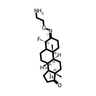 C[C@]12CC/C(=N/OCCN)[C@@H](F)C1CC[C@@H]1[C@@H]2CC[C@]2(C)C(=O)CC[C@@H]12